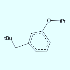 CC(C)Oc1cccc(CC(C)(C)C)c1